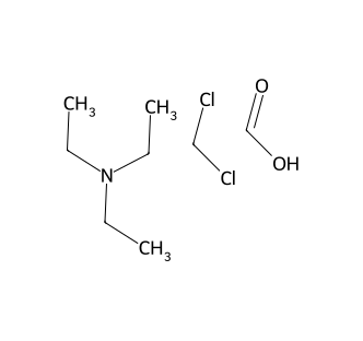 CCN(CC)CC.ClCCl.O=CO